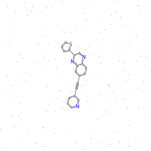 C(#Cc1ccc2n[c]c(-c3cccs3)nc2c1)c1cccnc1